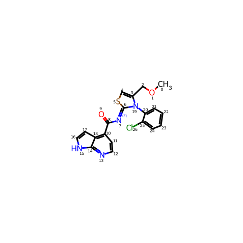 COCc1cs/c(=N\C(=O)c2ccnc3[nH]ccc23)n1-c1ccccc1Cl